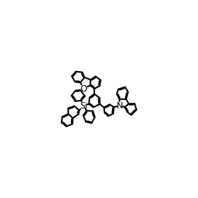 c1ccc([Si](c2ccccc2)(c2cc(-c3cccc(-n4c5ccccc5c5ccccc54)c3)cc(-c3cccc4c3oc3ccccc34)c2)c2ccc3ccccc3c2)cc1